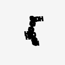 CC(C)(O)C(=O)N1CC=C(c2ccc(NC(=O)Nc3ccc4nccn4c3)cc2)CC1